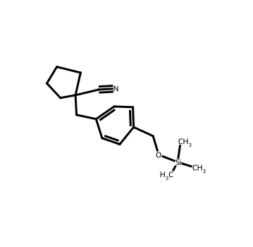 C[Si](C)(C)OCc1ccc(CC2(C#N)CCCC2)cc1